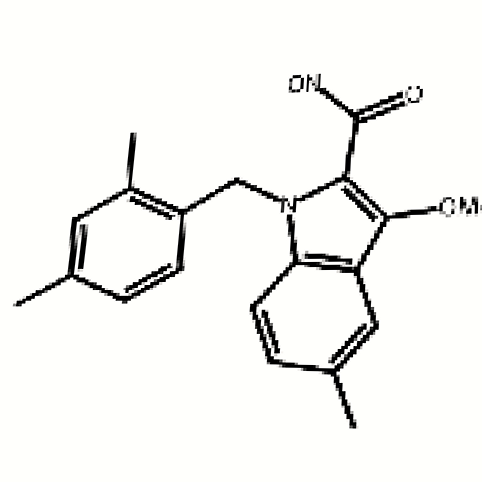 COc1c(C(=O)N=O)n(Cc2ccc(C)cc2C)c2ccc(C)cc12